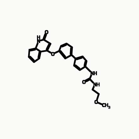 COCCNC(=O)Nc1ccc(-c2cccc(Oc3cc(=O)[nH]c4ccccc34)c2)cc1